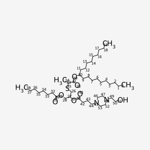 CCCCCCCCCCC(CCCCCCCCC)OC(=O)C(C)SCC(COC(=O)CCCCCCC)OC(=O)CCCN1CCN(CCO)CC1